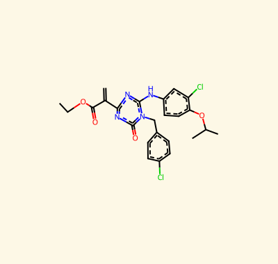 C=C(C(=O)OCC)c1nc(Nc2ccc(OC(C)C)c(Cl)c2)n(Cc2ccc(Cl)cc2)c(=O)n1